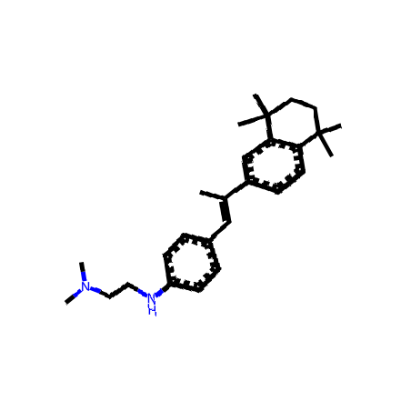 C/C(=C\c1ccc(NCCN(C)C)cc1)c1ccc2c(c1)C(C)(C)CCC2(C)C